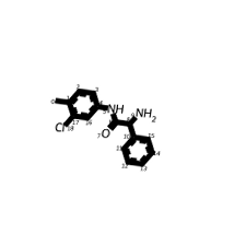 Cc1ccc(NC(=O)C(N)c2ccccc2)cc1Cl